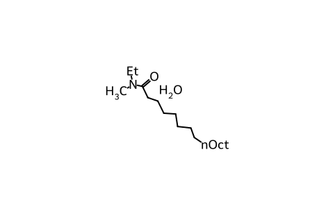 CCCCCCCCCCCCCCCC(=O)N(C)CC.O